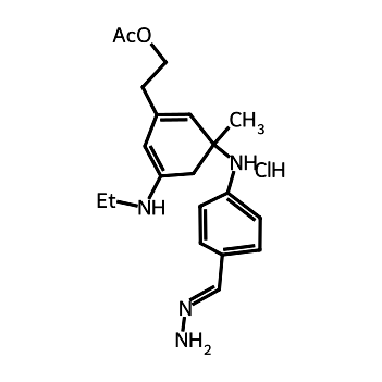 CCNC1=CC(CCOC(C)=O)=CC(C)(Nc2ccc(C=NN)cc2)C1.Cl